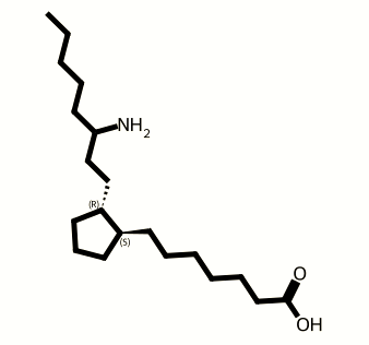 CCCCCC(N)CC[C@H]1CCC[C@@H]1CCCCCCC(=O)O